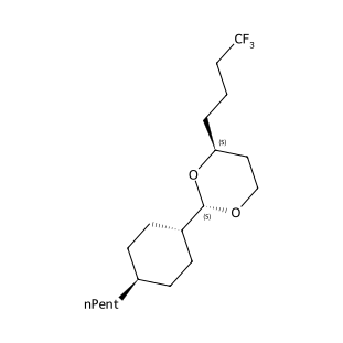 CCCCC[C@H]1CC[C@H]([C@H]2OCC[C@H](CCCC(F)(F)F)O2)CC1